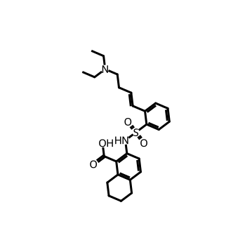 CCN(CC)CCC=Cc1ccccc1S(=O)(=O)Nc1ccc2c(c1C(=O)O)CCCC2